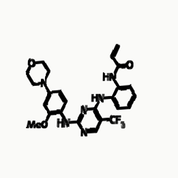 C=CC(=O)Nc1ccccc1Nc1nc(Nc2ccc(N3CCOCC3)cc2OC)ncc1C(F)(F)F